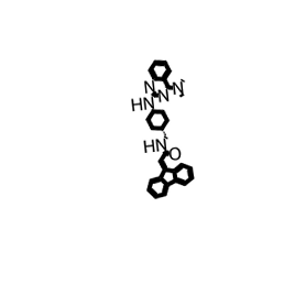 CN(C)c1nc(N[C@H]2CC[C@@H](CNC(=O)C=C3c4ccccc4-c4ccccc43)CC2)nc2ccccc12